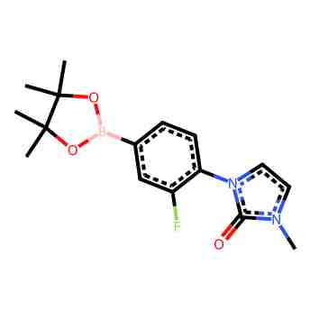 Cn1ccn(-c2ccc(B3OC(C)(C)C(C)(C)O3)cc2F)c1=O